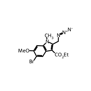 CCOC(=O)c1c(CN=[N+]=[N-])n(C)c2cc(OC)c(Br)cc12